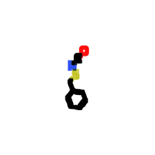 O=C=NSCc1ccccc1